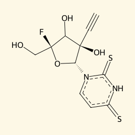 C#C[C@@]1(O)C(O)[C@@](F)(CO)O[C@H]1n1ccc(=S)[nH]c1=S